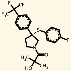 CC(C)(O)C(=O)N1CC[C@@](Sc2ccc(F)cc2)(c2ccc(C(F)(C(F)(F)F)C(F)(F)F)cc2)C1